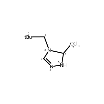 CC(C)(C)CN1C=NNC1C(Cl)(Cl)Cl